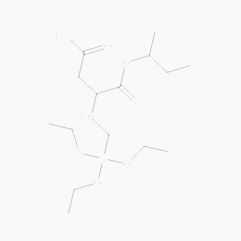 CCO[Si](CNC(CC(=O)O)C(=O)OC(C)CC)(OCC)OCC